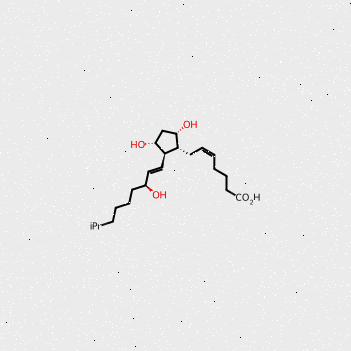 CC(C)CCCC[C@H](O)/C=C/[C@@H]1[C@@H](C/C=C\CCCC(=O)O)[C@@H](O)C[C@H]1O